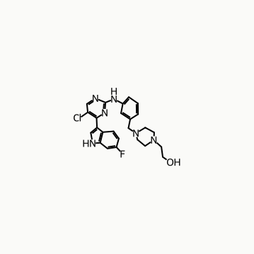 OCCN1CCN(Cc2cccc(Nc3ncc(Cl)c(-c4c[nH]c5cc(F)ccc45)n3)c2)CC1